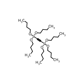 CCCCO[Si](C#C[Si](OCCCC)(OCCCC)OCCCC)(OCCCC)OCCCC